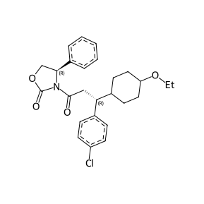 CCOC1CCC([C@@H](CC(=O)N2C(=O)OC[C@H]2c2ccccc2)c2ccc(Cl)cc2)CC1